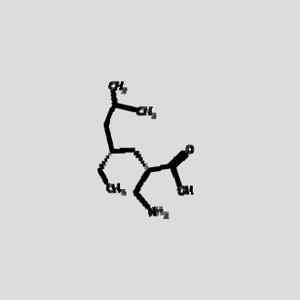 CC[C@H](CC(C)C)C[C@@H](CN)C(=O)O